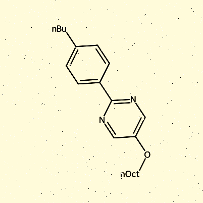 CCCCCCCCOc1cnc(-c2ccc(CCCC)cc2)nc1